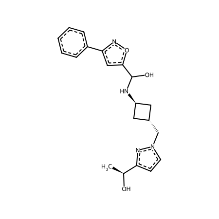 C[C@H](O)c1ccn(C[C@H]2C[C@H](NC(O)c3cc(-c4ccccc4)no3)C2)n1